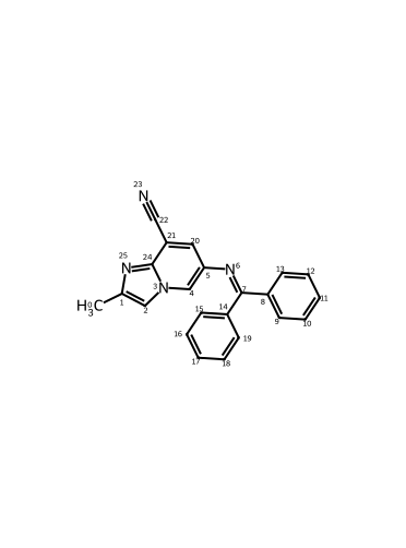 Cc1cn2cc(N=C(c3ccccc3)c3ccccc3)cc(C#N)c2n1